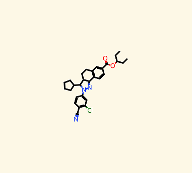 CCC(CC)OC(=O)c1ccc2c(c1)CCC1C2=NN(c2ccc(C#N)c(Cl)c2)C1C1CCCC1